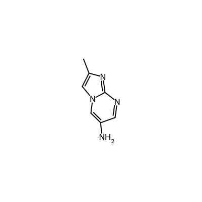 Cc1cn2cc(N)cnc2n1